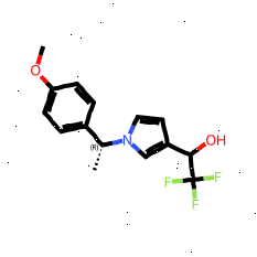 COc1ccc([C@@H](C)n2ccc(C(O)C(F)(F)F)c2)cc1